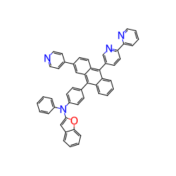 c1ccc(N(c2ccc(-c3c4ccccc4c(-c4ccc(-c5ccccn5)nc4)c4ccc(-c5ccncc5)cc34)cc2)c2cc3ccccc3o2)cc1